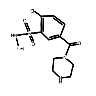 O=C(c1ccc(Cl)c(S(=O)(=O)NO)c1)N1CCNCC1